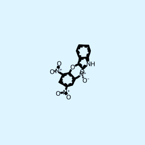 O=[N+]([O-])c1cc([N+](=O)[O-])c(Oc2c[nH]c3ccccc23)c([N+](=O)[O-])c1